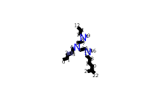 CC/C=C/CN(CCN(C)CCC)CCN(C)CCCCC(C)C